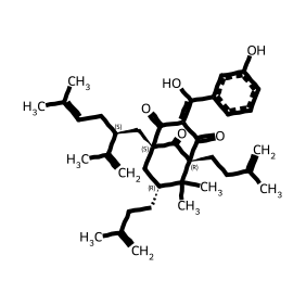 C=C(C)CC[C@@H]1C[C@]2(C[C@H](CC=C(C)C)C(=C)C)C(=O)C(=C(O)c3cccc(O)c3)C(=O)[C@@](CCC(=C)C)(C2=O)C1(C)C